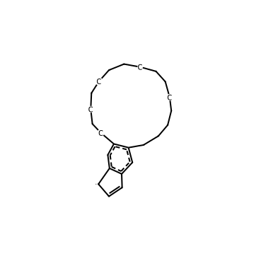 [CH]1C=Cc2cc3c(cc21)CCCCCCCCCCCCCCC3